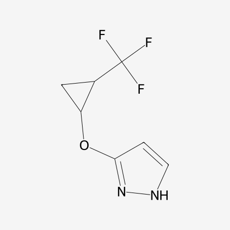 FC(F)(F)C1CC1Oc1cc[nH]n1